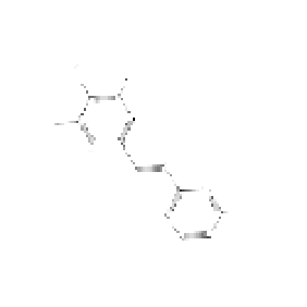 Cc1cccc(/C=C/c2cc(F)c(F)c(F)c2)n1